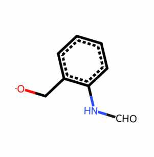 [O]Cc1ccccc1NC=O